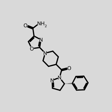 NC(=O)c1coc(N2CCC(C(=O)N3N=CC[C@H]3c3ccccc3)CC2)n1